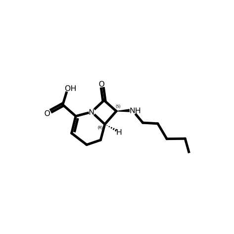 CCCCCN[C@@H]1C(=O)N2C(C(=O)O)=CCC[C@H]12